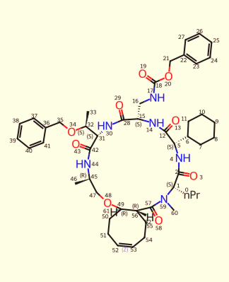 CCC[C@H]1C(=O)N[C@@H](C2CCCCC2)C(=O)N[C@@H](CNC(=O)OCc2ccccc2)C(=O)N[C@@H]([C@H](C)OCc2ccccc2)C(=O)N[C@H](C)CO[C@@H]2CC/C=C\CC[C@H]2C(=O)N1C